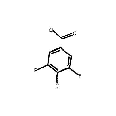 Fc1cccc(F)c1Cl.O=CCl